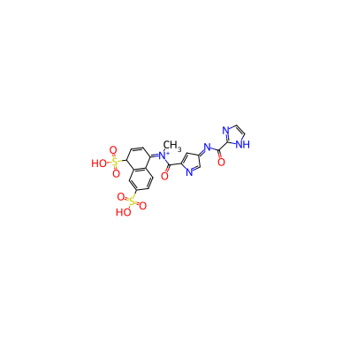 C[N+](C(=O)C1=CC(=NC(=O)c2ncc[nH]2)C=N1)=C1C=CC(S(=O)(=O)O)c2cc(S(=O)(=O)O)ccc21